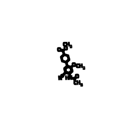 COC(=O)C1CCC(c2cc(C#N)c(NC(C)=O)cc2OC)CC1